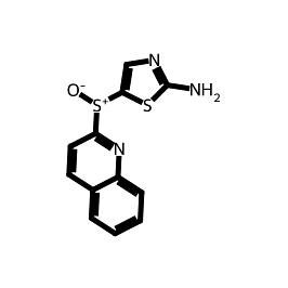 Nc1ncc([S+]([O-])c2ccc3ccccc3n2)s1